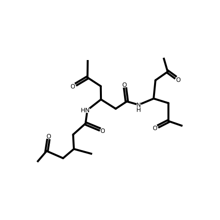 CC(=O)CC(C)CC(=O)NC(CC(C)=O)CC(=O)NC(CC(C)=O)CC(C)=O